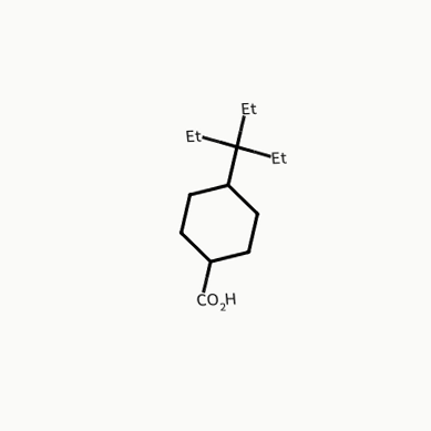 CCC(CC)(CC)C1CCC(C(=O)O)CC1